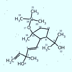 C=CC(C)(O)C=CC1C(C(C)(C)O)CCC1(C)O[Si](C)(C)C